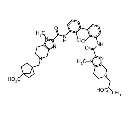 C[C@@H](O)CN1CCc2c(nc(C(=O)Nc3cccc(-c4cccc(NC(=O)c5nc6c(n5C)CCN(CC57CCC(C(=O)O)(CC5)C7)C6)c4Cl)c3Cl)n2C)C1